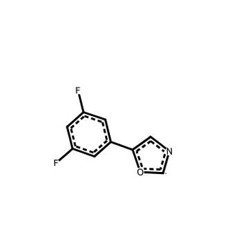 Fc1cc(F)cc(-c2cn[c]o2)c1